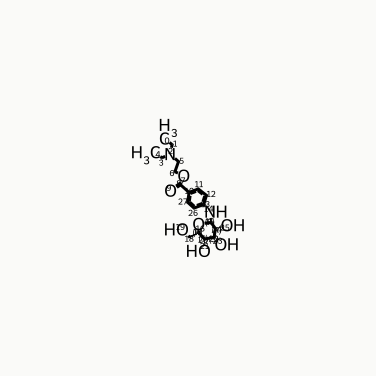 CCN(CC)CCOC(=O)c1ccc(N[C@@H]2O[C@H](CO)[C@@H](O)[C@H](O)[C@H]2O)cc1